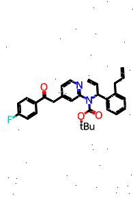 C=CCc1ccccc1C(C=C)N(C(=O)OC(C)(C)C)c1cc(CC(=O)c2ccc(F)cc2)ccn1